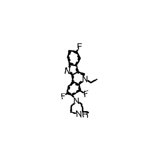 CCn1cc2c3cc(F)ccc3nc-2c2cc(F)c(N3CCNC(C)C3)c(F)c21